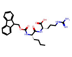 CCCC[C@H](NC(=O)OCC1c2ccccc2-c2ccccc21)C(=O)N[C@@H](CCCNC(=N)N)C(=O)O